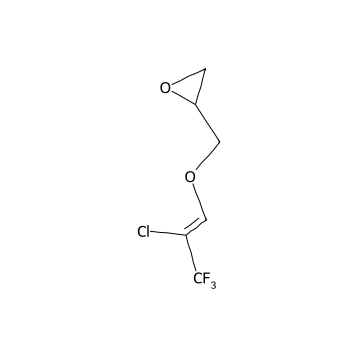 FC(F)(F)C(Cl)=COCC1CO1